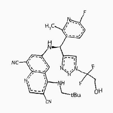 Cc1nc(F)ccc1[C@H](Nc1cc(C#N)c2ncc(C#N)c(NCC(C)(C)C)c2c1)c1cn(C(F)(F)CO)nn1